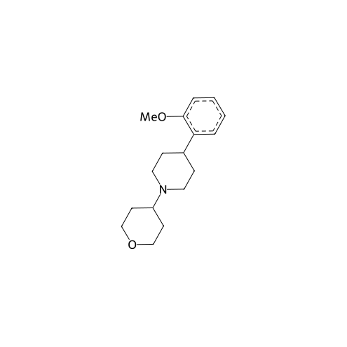 COc1ccccc1C1CCN(C2CCOCC2)CC1